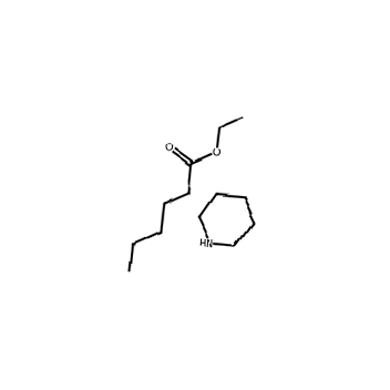 C1CCNCC1.CCCCCC(=O)OCC